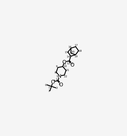 CC(C)(C)OC(=O)N1CCC(OC(=O)C2CC3CCC2C3)CC1